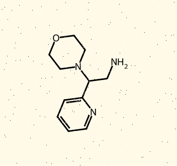 NCC(c1ccccn1)N1CCOCC1